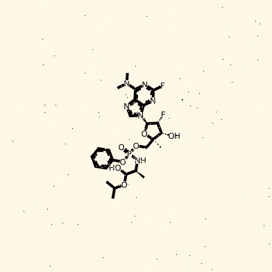 CC(C)OC(O)[C@H](C)NP(=O)(OC[C@@]1(C)O[C@@H](n2cnc3c(N(C)C)nc(F)nc32)[C@H](F)[C@@H]1O)Oc1ccccc1